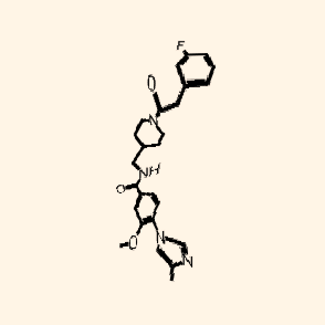 COc1cc(C(=O)NCC2CCN(C(=O)Cc3cccc(F)c3)CC2)ccc1-n1cnc(C)c1